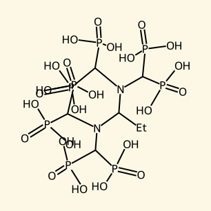 CCC(N(C(P(=O)(O)O)P(=O)(O)O)C(P(=O)(O)O)P(=O)(O)O)N(C(P(=O)(O)O)P(=O)(O)O)C(P(=O)(O)O)P(=O)(O)O